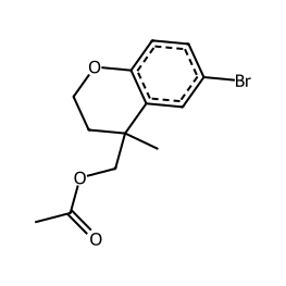 CC(=O)OCC1(C)CCOc2ccc(Br)cc21